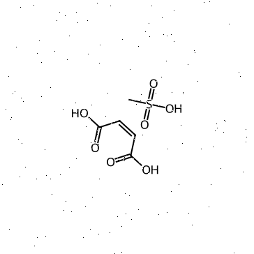 CS(=O)(=O)O.O=C(O)/C=C\C(=O)O